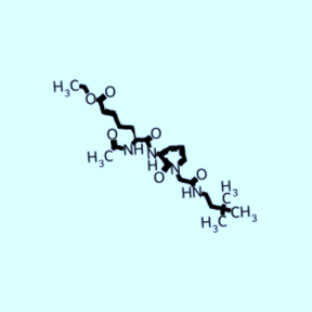 CCOC(=O)/C=C/CC[C@H](NC(C)=O)C(=O)Nc1cccn(CC(=O)NCCC(C)(C)C)c1=O